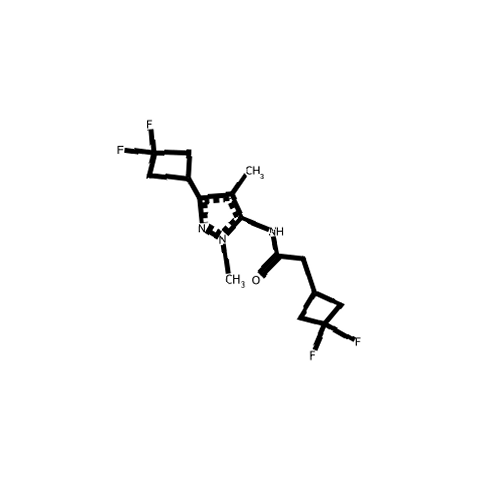 Cc1c(C2CC(F)(F)C2)nn(C)c1NC(=O)CC1CC(F)(F)C1